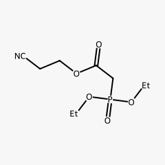 CCOP(=O)(CC(=O)OCCC#N)OCC